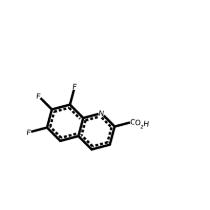 O=C(O)c1ccc2cc(F)c(F)c(F)c2n1